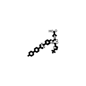 CC1CCC(C2CC=C(c3cnc(-c4ccc(C[C@H](NC(=O)c5ccc(C(C)(C)C)s5)C(=O)N5CC(C(=O)O)C5)cc4)nc3)CC2)CC1